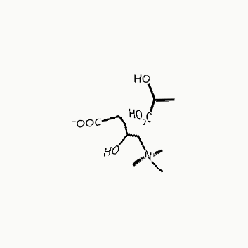 CC(O)C(=O)O.C[N+](C)(C)CC(O)CC(=O)[O-]